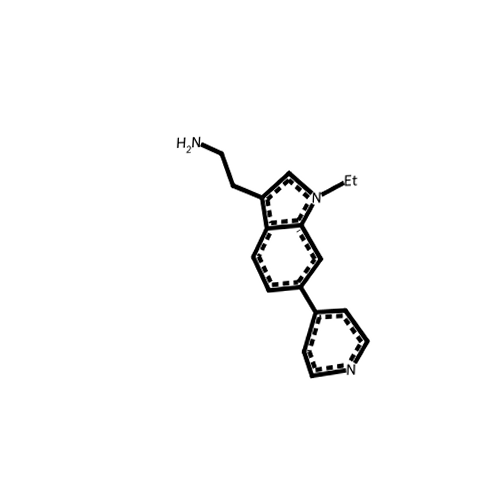 CCn1cc(CCN)c2ccc(-c3ccncc3)cc21